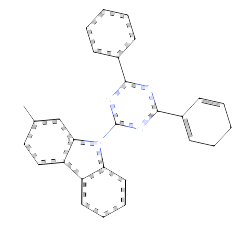 Cc1ccc2c3ccccc3n(-c3nc(C4=CCCC=C4)nc(-c4ccccc4)n3)c2c1